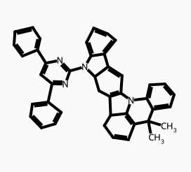 CC1(C)C2=C3C(CC=C2)C2=C(C=C4c5ccccc5N(c5nc(-c6ccccc6)cc(-c6ccccc6)n5)C4C2)N3c2ccccc21